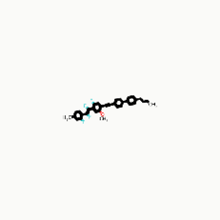 CCCCc1ccc(-c2ccc(C#Cc3cc(F)c(/C(F)=C(\F)c4ccc(C)cc4F)cc3OC)cc2)cc1